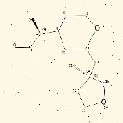 CC[C@@H](C)C1CCOC(C[C@]2(C)CCOC2)C1